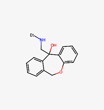 CCNCC1(O)c2ccccc2COc2ccccc21